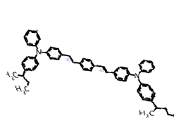 CCCC(C)c1ccc(N(c2ccccc2)c2ccc(/C=C/c3ccc(/C=C/c4ccc(N(c5ccccc5)c5ccc(C(C)CC)cc5)cc4)cc3)cc2)cc1